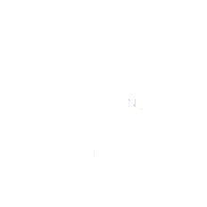 Fc1[c]c[c]cn1